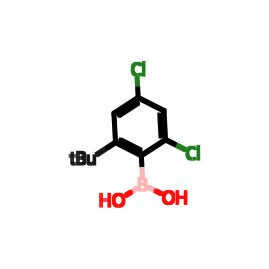 CC(C)(C)c1cc(Cl)cc(Cl)c1B(O)O